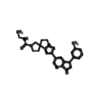 CCNC(=O)N1CCC2(CCn3nc(-c4cnc5[nH]cc(-c6cccc(C)c6)c5c4)cc32)C1